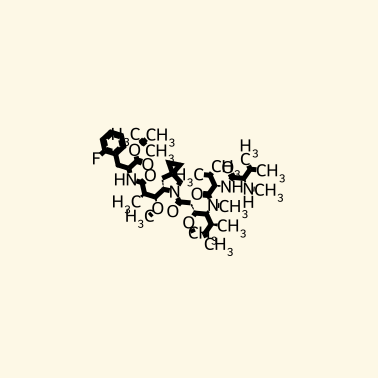 CC[C@H](C)[C@@H]([C@@H](CC(=O)N1CC2(CC2)C[C@H]1[C@H](OC)[C@@H](C)C(=O)NC(Cc1ccccc1F)C(=O)OC(C)(C)C)OC)N(C)C(=O)[C@@H](NC(=O)[C@@H](NC)C(C)C)C(C)C